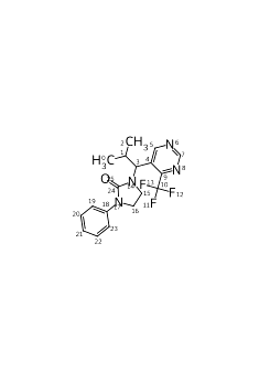 CC(C)C(c1cncnc1C(F)(F)F)N1CCN(c2ccccc2)C1=O